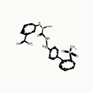 CCCN(Nc1cccc(C(=N)N)c1)C(=O)NNc1ccc(-c2ccccc2S(C)(=O)=O)cc1